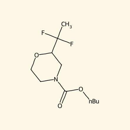 CCCCOC(=O)N1CCOC(C(C)(F)F)C1